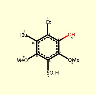 CCc1c(O)c(OC)c(S(=O)(=O)O)c(OC)c1C(C)CC